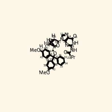 COc1ccc(C(OC[C@]23O[C@@H](n4cnc5c(=O)[nH]c(NC(=O)C(C)C)nc54)[C@H](O[C@H]2C)[C@@H]3O)(c2ccccc2)c2ccc(OC)cc2)cc1